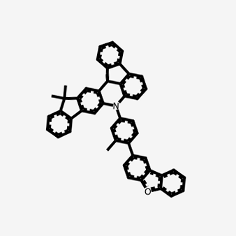 Cc1cc(N2c3cc4c(cc3C3(C)c5ccccc5-c5cccc2c53)C(C)(C)c2ccccc2-4)ccc1-c1ccc2oc3ccccc3c2c1